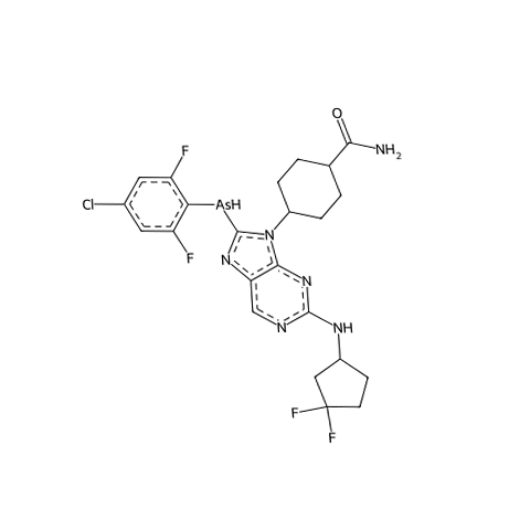 NC(=O)C1CCC(n2c([AsH]c3c(F)cc(Cl)cc3F)nc3cnc(NC4CCC(F)(F)C4)nc32)CC1